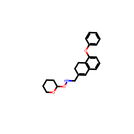 C1=C(CNOC2CCCCO2)CCc2c1cccc2Oc1ccccc1